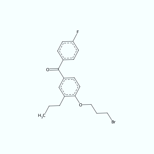 CCCc1cc(C(=O)c2ccc(F)cc2)ccc1OCCCBr